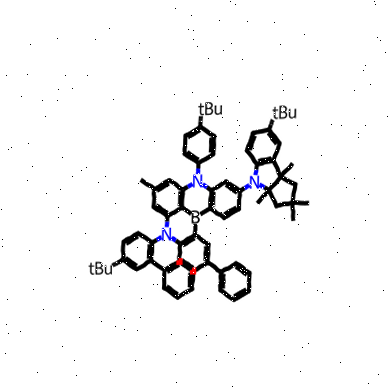 Cc1cc2c3c(c1)N(c1ccc(C(C)(C)C)cc1-c1ccccc1)c1ccc(-c4ccccc4)cc1B3c1ccc(N3c4ccc(C(C)(C)C)cc4C4(C)CC(C)(C)CC34C)cc1N2c1ccc(C(C)(C)C)cc1